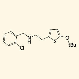 CC(C)(C)Oc1ccc(CCNCc2ccccc2Cl)s1